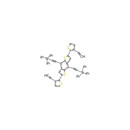 C#Cc1ccsc1-c1cc2c(C#C[Si](C(C)C)(C(C)C)C(C)C)c3sc(-c4sccc4C#C)cc3c(C#C[Si](C(C)C)(C(C)C)C(C)C)c2s1